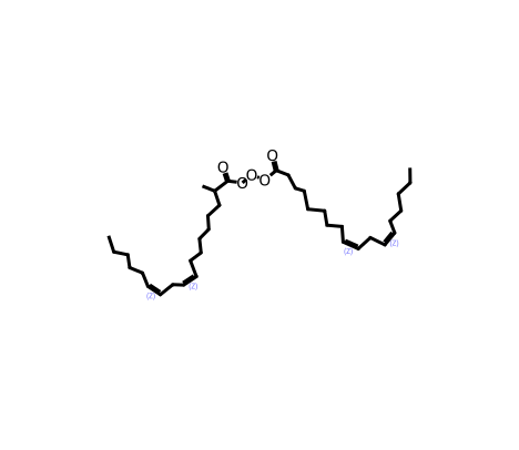 CCCCC/C=C\C/C=C\CCCCCCCC(=O)OOOC(=O)C(C)CCCCCC/C=C\C/C=C\CCCCC